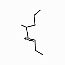 [CH2]CC=[SiH]C(C)CCC